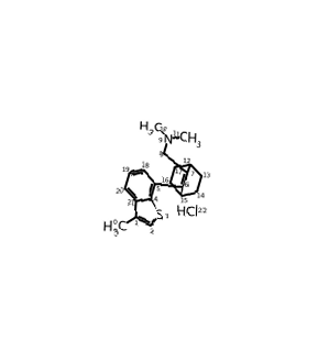 Cc1csc2c(C3=C(CN(C)C)C4CCC3CC4)cccc12.Cl